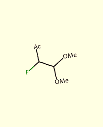 COC(OC)C(F)C(C)=O